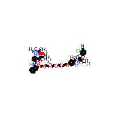 CN[C@@H](C)C(=O)N[C@H](C(=O)C1CCC[C@H]1C(=O)N[C@H]1c2ccccc2C[C@H]1OCCOCCOCCOCCOCCOc1ccc(C(=O)NC2C(C)(C)C(Oc3ccc(C#N)c(Cl)c3)C2(C)C)cc1)C(C)(C)C